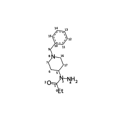 CCC(=O)N(N)C1CCN(Cc2ccccc2)CC1